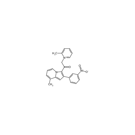 Cc1cccn2c(C(=O)C[n+]3ccccc3C)c(-c3cccc([N+](=O)[O-])c3)cc12